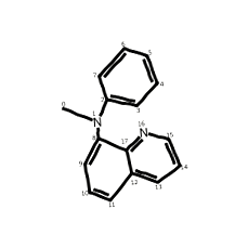 CN(c1ccccc1)c1cccc2cccnc12